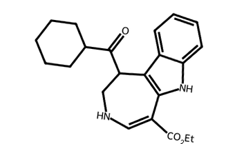 CCOC(=O)C1=CNCC(C(=O)C2CCCCC2)c2c1[nH]c1ccccc21